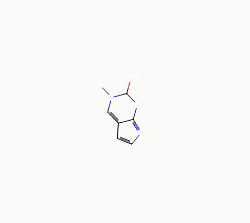 OC1NC2=NC=CC2=CN1I